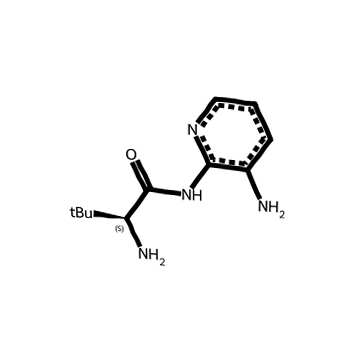 CC(C)(C)[C@H](N)C(=O)Nc1ncccc1N